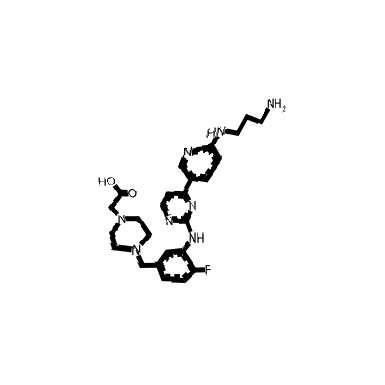 NCCCNc1ccc(-c2ccnc(Nc3cc(CN4CCN(CC(=O)O)CC4)ccc3F)n2)cn1